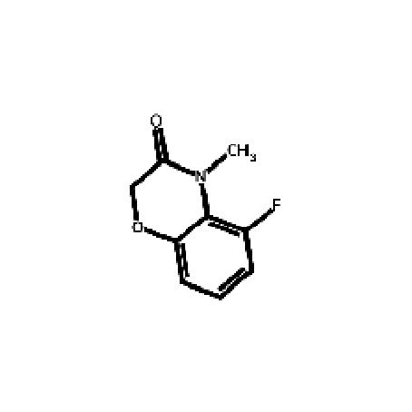 CN1C(=O)COc2cccc(F)c21